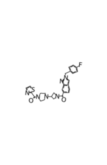 O=C(c1ccc2cn(Cc3ccc(F)cc3)nc2c1)N1CC(N2CCN(C(=O)c3nccs3)CC2)C1